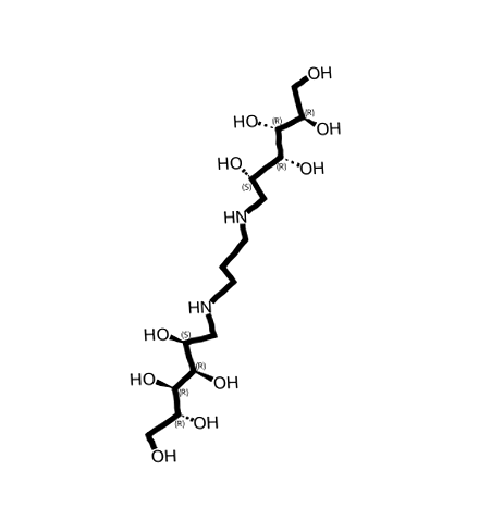 OC[C@@H](O)[C@@H](O)[C@H](O)[C@@H](O)CNCCCNC[C@H](O)[C@@H](O)[C@H](O)[C@H](O)CO